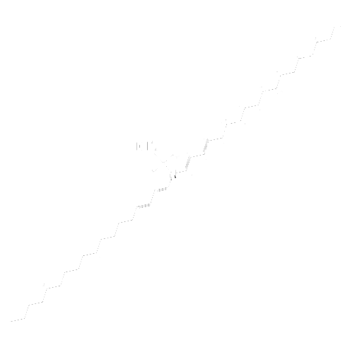 CCCCCCCCCCCCCC/C=C/C=C/N(/C=C/C=C/CCCCCCCCCCCCCC)C(C)(C)C.Cl